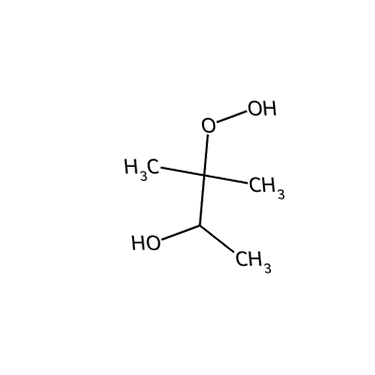 CC(O)C(C)(C)OO